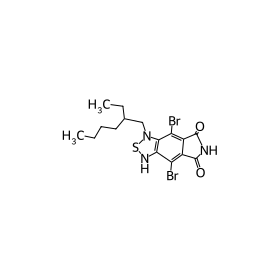 CCCCC(CC)Cn1s[nH]c2c(Br)c3c(=O)[nH]c(=O)c3c(Br)c21